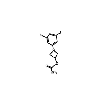 NC(=O)OC1CN(c2cc(F)cc(F)c2)C1